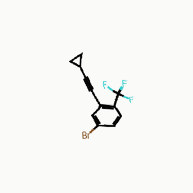 FC(F)(F)c1ccc(Br)cc1C#CC1CC1